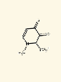 CN1C=CC(=S)C(=O)C1C(=O)O